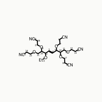 CCOC(/C=C/C(OCCC#N)C(COCCC#N)OCCC#N)C(COCCC#N)OCCC#N